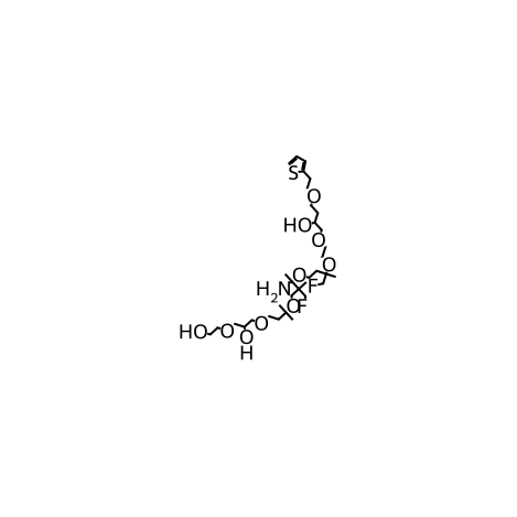 CC(C)(CCOCC(O)COCCO)OCC(C)(CF)C(C)(N)OCCC(C)(CF)OCCOCC(O)CCOCCc1cccs1